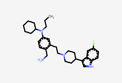 CCCN(c1ccc(CN)c(CCN2CCC(c3c[nH]c4ccc(F)cc34)CC2)c1)C1CCCCC1